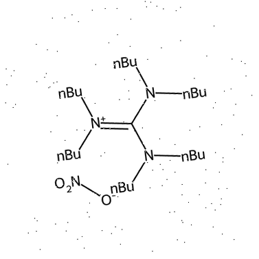 CCCCN(CCCC)C(N(CCCC)CCCC)=[N+](CCCC)CCCC.O=[N+]([O-])[O-]